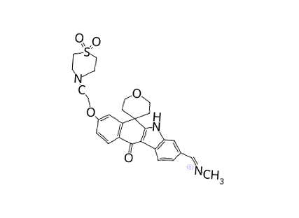 C/N=C/c1ccc2c3c([nH]c2c1)C1(CCOCC1)c1cc(OCCN2CCS(=O)(=O)CC2)ccc1C3=O